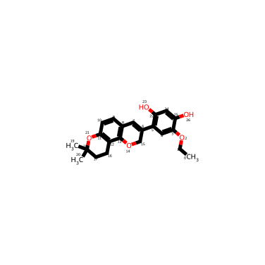 CCOc1cc(C2=Cc3ccc4c(c3OC2)CCC(C)(C)O4)c(O)cc1O